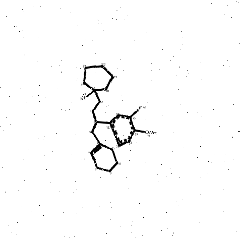 CCC1(CCC(CC2=CCCCC2)c2ccc(OC)c(F)c2)CCCCC1